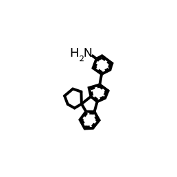 Nc1cccc(-c2ccc3c(c2)C2(CCCCC2)c2ccccc2-3)c1